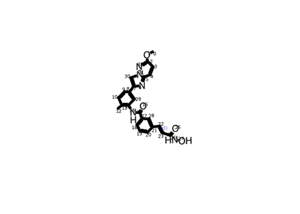 COc1ccc2nc(-c3ccc(C)c(NC(=O)c4cccc(/C=C/C(=O)NO)c4)c3)cn2n1